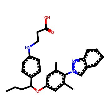 CCCC(Oc1cc(C)c(-n2cc3ccccc3n2)c(C)c1)c1ccc(NCCC(=O)O)cc1